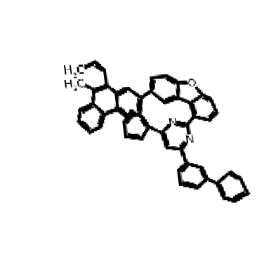 C/C=C\c1c(C)c2ccccc2c2ccc(-c3ccc4oc5cccc(-c6nc(-c7ccccc7)cc(-c7cccc(-c8ccccc8)c7)n6)c5c4c3)cc12